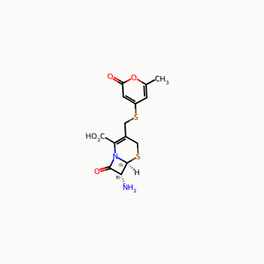 Cc1cc(SCC2=C(C(=O)O)N3C(=O)[C@@H](N)[C@@H]3SC2)cc(=O)o1